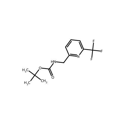 CC(C)(C)OC(=O)NCc1cccc(C(F)(F)F)n1